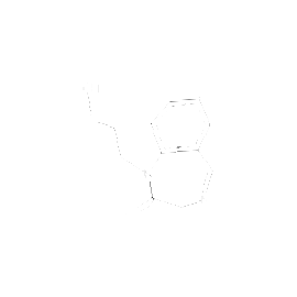 COCCN1C(=O)CN=Cc2ccccc21